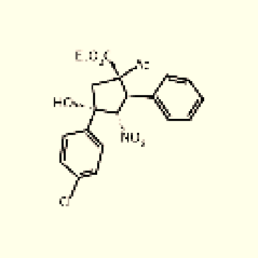 CCOC(=O)[C@]1(C(C)=O)C[C@](O)(c2ccc(Cl)cc2)[C@@H]([N+](=O)[O-])[C@@H]1c1ccccc1